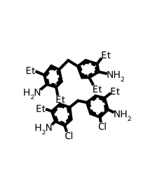 CCc1cc(Cc2cc(CC)c(N)c(CC)c2)cc(CC)c1N.CCc1cc(Cc2cc(Cl)c(N)c(CC)c2)cc(Cl)c1N